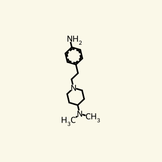 CN(C)C1CCN(CCc2ccc(N)cc2)CC1